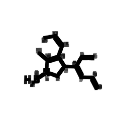 BN1CC(/C(C=C)=C/C=C)C(/C=C\C)=C1C